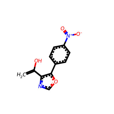 C=C(O)c1ncoc1-c1ccc([N+](=O)[O-])cc1